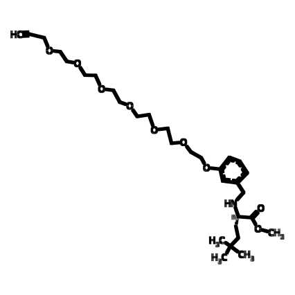 C#CCOCCOCCOCCOCCOCCOCCOc1cccc(CN[C@@H](CCC(C)(C)C)C(=O)OC)c1